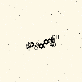 Cc1ccc(N(C)C(=O)c2ccnc(C(C)(F)F)c2)cc1-c1ccc2c(c1)N1CCOC[C@H]1[C@](F)(CO)C2